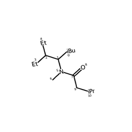 CCC(C)C(C(CC)CC)N(C)C(=O)CC(C)C